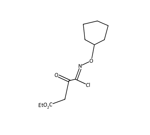 CCOC(=O)CC(=O)C(Cl)=NOC1CCCCC1